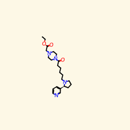 CCOC(=O)CN1CCN(C(=O)CCCCCN2CCC[C@H]2c2cccnc2)CC1